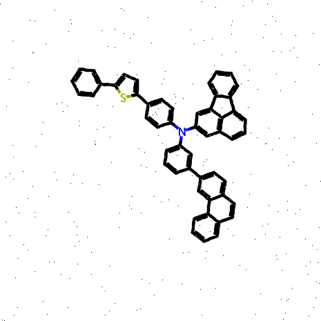 c1ccc(-c2ccc(-c3ccc(N(c4cccc(-c5ccc6ccc7ccccc7c6c5)c4)c4cc5c6c(cccc6c4)-c4ccccc4-5)cc3)s2)cc1